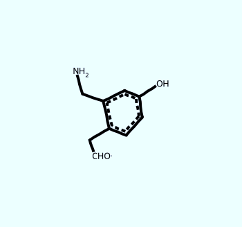 NCc1cc(O)ccc1C[C]=O